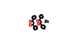 O=C(CC(=O)c1ccccc1)c1ccccc1.O=C(CC(=O)c1ccccc1)c1ccccc1.[Zn]